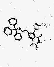 CCOC(=O)c1csc(-c2c3c(=O)n(C)c(=O)n(C)c3cn2CCSC(c2ccccc2)(c2ccccc2)c2ccccc2)n1